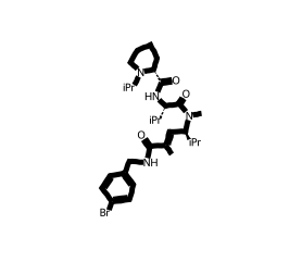 C/C(=C\[C@H](C(C)C)N(C)C(=O)[C@@H](NC(=O)[C@H]1CCCCN1C(C)C)C(C)C)C(=O)NCc1ccc(Br)cc1